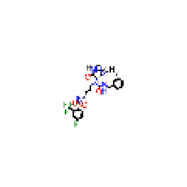 CC(C)C[C@@H](C(N)=O)N(CCCCNS(=O)(=O)c1ccc(F)cc1C(F)(F)F)C(=O)NCc1ccccc1